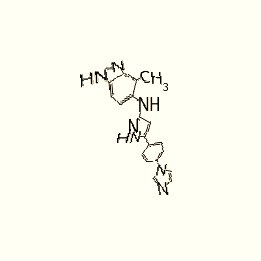 Cc1c(Nc2cc(-c3ccc(-n4ccnc4)cc3)[nH]n2)ccc2[nH]cnc12